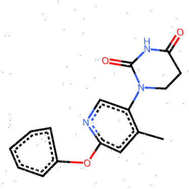 Cc1cc(Oc2ccccc2)ncc1N1CCC(=O)NC1=O